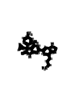 Nc1nc(C2=CN3NCN=C3C(CCCC(F)(F)F)=N2)nc2c1C(c1ccc(C(F)(F)F)cn1)(C1CC1)C(=O)N2